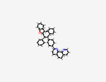 c1ccc(-c2c(-c3ccc(-c4ccc5ccc6cccnc6c5n4)cc3)c3ccccc3c3c2oc2ccccc23)cc1